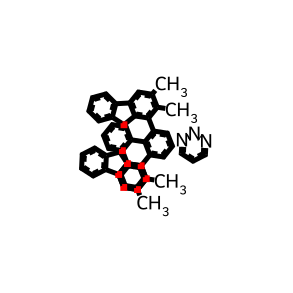 Cc1cc2c(c(-c3cccc(-c4c(C)c(C)cc5c4Cc4ccccc4-5)c3-c3ccccc3-c3ccccc3)c1C)Cc1ccccc1-2.c1cnnnc1